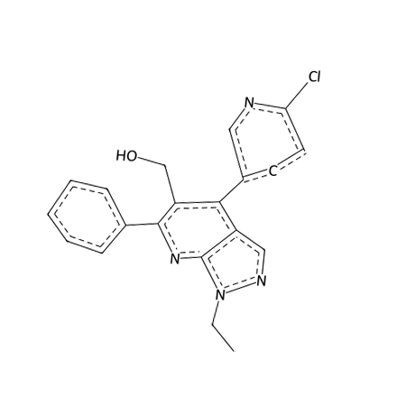 CCn1ncc2c(-c3ccc(Cl)nc3)c(CO)c(-c3ccccc3)nc21